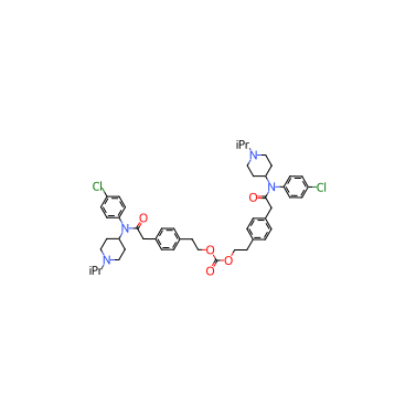 CC(C)N1CCC(N(C(=O)Cc2ccc(CCOC(=O)OCCc3ccc(CC(=O)N(c4ccc(Cl)cc4)C4CCN(C(C)C)CC4)cc3)cc2)c2ccc(Cl)cc2)CC1